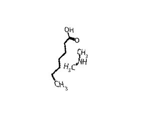 CCCCCCC(=O)O.CNC